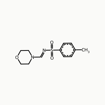 Cc1ccc(S(=O)(=O)N=CN2CCOCC2)cc1